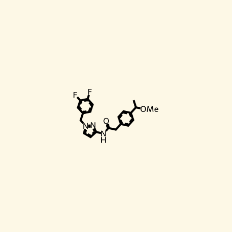 COC(C)c1ccc(CC(=O)Nc2ccn(Cc3ccc(F)c(F)c3)n2)cc1